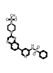 CS(=O)(=O)N1CCN(c2cnc3ccc(-c4cncc(NS(=O)(=O)c5ccccc5)c4)cc3n2)CC1